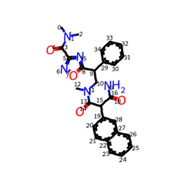 CN(C)C(=O)c1noc(C(CN(C)C(=O)C(C(N)=O)c2ccc3ccccc3c2)c2ccccc2)n1